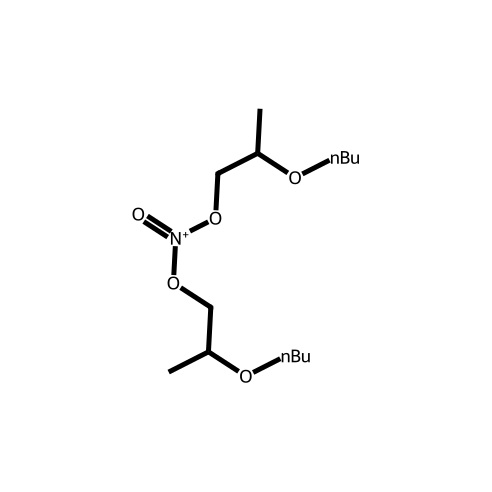 CCCCOC(C)CO[N+](=O)OCC(C)OCCCC